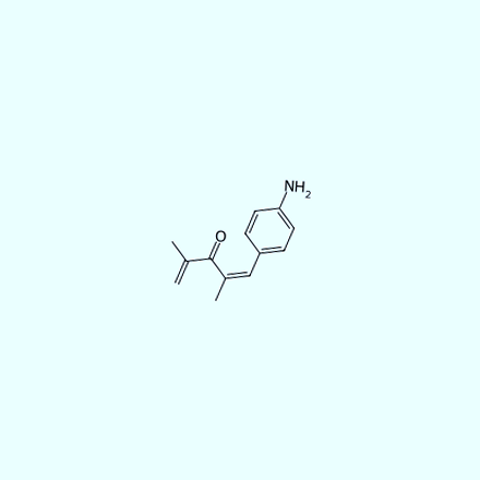 C=C(C)C(=O)C(C)=Cc1ccc(N)cc1